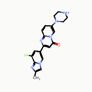 Cc1cn2cc(-c3cc(=O)n4cc(N5CCNCC5)ccc4n3)cc(F)c2n1